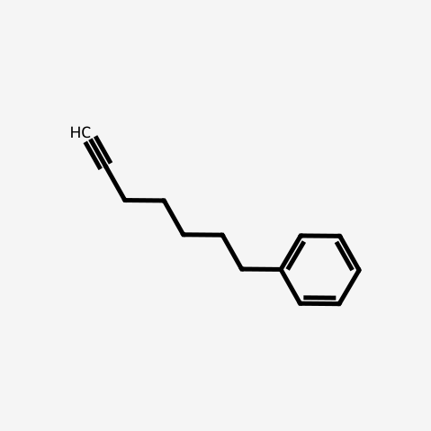 C#CCCCCCc1ccccc1